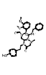 COc1cccc(CN(C=O)CC2N(CCc3ccc(O)cc3)C(=O)CN(C)N2C(=O)NCc2ccccc2)c1OC